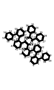 c1ccc(-c2ccccc2-c2ccccc2-c2cccnc2-c2nc(-c3ccccc3)c(-c3ccccc3)nc2-c2ccccc2-c2ccccc2-c2ccccc2)cc1